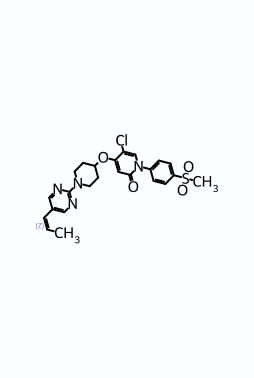 C/C=C\c1cnc(N2CCC(Oc3cc(=O)n(-c4ccc(S(C)(=O)=O)cc4)cc3Cl)CC2)nc1